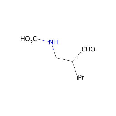 CC(C)C(C=O)CNC(=O)O